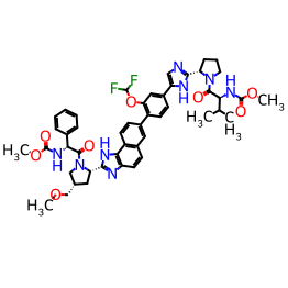 COC[C@H]1C[C@@H](c2nc3ccc4cc(-c5ccc(-c6cnc([C@@H]7CCCN7C(=O)[C@@H](NC(=O)OC)C(C)C)[nH]6)cc5OC(F)F)ccc4c3[nH]2)N(C(=O)[C@H](NC(=O)OC)c2ccccc2)C1